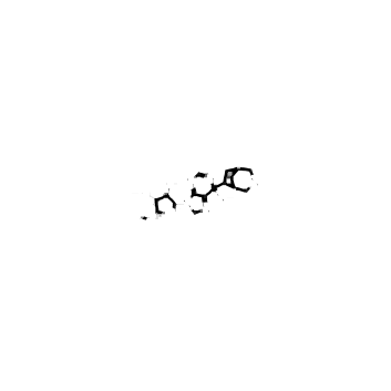 NC1(C2CC3CNCC2C3)N=CN=C2C1=NCN2[C@@H]1O[C@H](CO)[C@@H](O)[C@H]1O